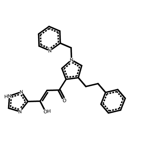 O=C(C=C(O)c1nc[nH]n1)c1cn(Cc2ccccn2)cc1CCc1ccccc1